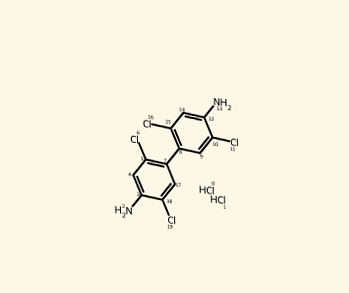 Cl.Cl.Nc1cc(Cl)c(-c2cc(Cl)c(N)cc2Cl)cc1Cl